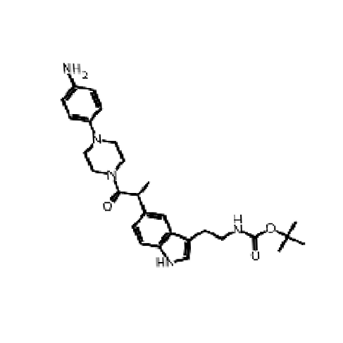 CC(C(=O)N1CCN(c2ccc(N)cc2)CC1)c1ccc2[nH]cc(CCNC(=O)OC(C)(C)C)c2c1